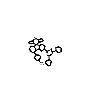 N#Cc1ccc(-c2cccc3c2-c2cc(-c4nc(-c5ccccc5)cc(-c5ccccc5)n4)ccc2C32c3ccccc3Sc3ccccc32)cc1